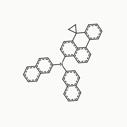 c1ccc2c(c1)-c1cccc3c(N(c4ccc5ccccc5c4)c4ccc5ccccc5c4)ccc(c13)C21CC1